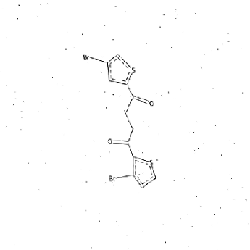 O=C(CCC(=O)c1sccc1Br)c1cc(Br)cs1